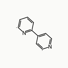 [c]1cc(-c2ccc[c]n2)ccn1